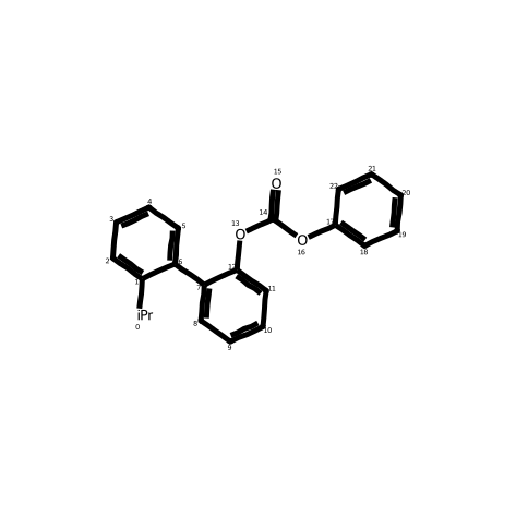 CC(C)c1ccccc1-c1ccccc1OC(=O)Oc1ccccc1